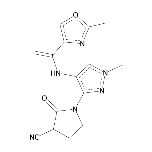 C=C(Nc1cn(C)nc1N1CCC(C#N)C1=O)c1coc(C)n1